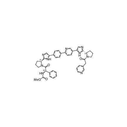 COC(=O)N[C@@H](C(=O)N1CCC[C@H]1c1ncc(-c2ccc(-c3ccc(-c4cnc([C@@H]5CCCN5C(=O)Cc5cccnc5)[nH]4)cn3)cc2)[nH]1)c1ccccc1